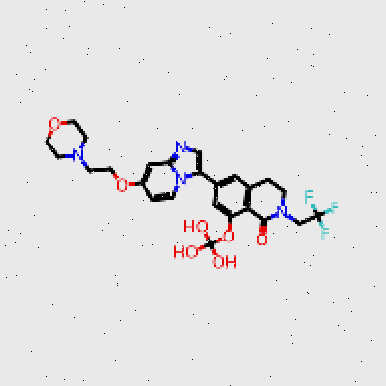 O=C1c2c(cc(-c3cnc4cc(OCCN5CCOCC5)ccn34)cc2OC(O)(O)O)CCN1CC(F)(F)F